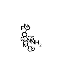 NC1=N[C@@]2(CCS1)c1cc(-c3cccnc3F)ccc1Oc1cnc(C3=CCCOC3)cc12